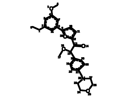 CCc1cc(OC)cc(-c2ccc(C(=O)C(OC)c3ccc(N4CCOCC4)cc3)o2)c1